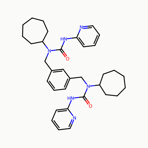 O=C(Nc1ccccn1)N(Cc1cccc(CN(C(=O)Nc2ccccn2)C2CCCCCC2)c1)C1CCCCCC1